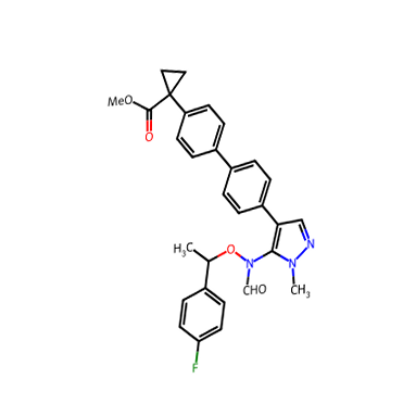 COC(=O)C1(c2ccc(-c3ccc(-c4cnn(C)c4N(C=O)OC(C)c4ccc(F)cc4)cc3)cc2)CC1